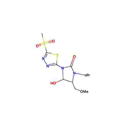 CCCN1C(=O)N(c2nnc(S(C)(=O)=O)s2)C(O)C1COC